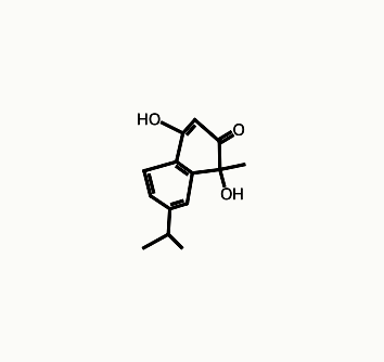 CC(C)c1ccc2c(c1)C(C)(O)C(=O)C=C2O